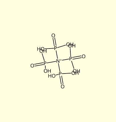 O=P(O)(O)[N+](P(=O)(O)O)(P(=O)(O)O)P(=O)(O)O